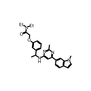 CCN(CC)C(=O)COc1cccc(C(C)Nc2cc(-c3ccc4ccn(C)c4c3)nc(C)n2)c1